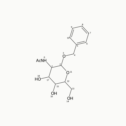 CC(=O)NC1C(OCc2ccccc2)OC(CO)C(O)C1O